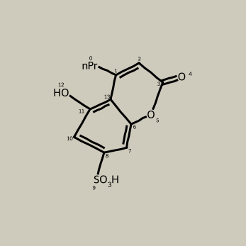 CCCc1cc(=O)oc2cc(S(=O)(=O)O)cc(O)c12